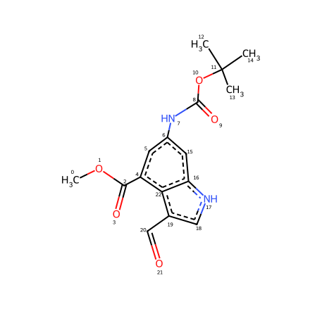 COC(=O)c1cc(NC(=O)OC(C)(C)C)cc2[nH]cc(C=O)c12